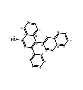 Oc1cc(-c2ccccc2)c(-c2ccc3ccccc3c2)c2ccccc12